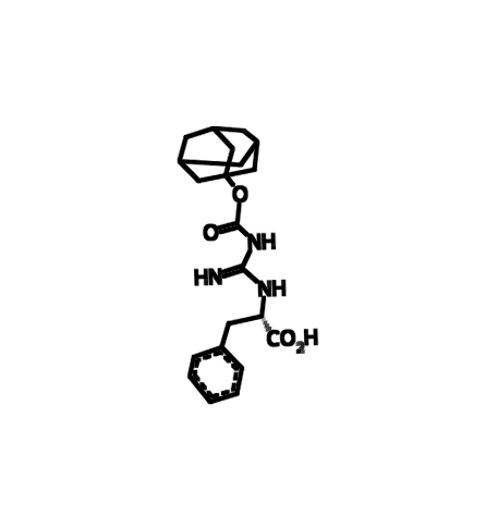 N=C(NC(=O)OC12CC3CC(CC(C3)C1)C2)N[C@@H](Cc1ccccc1)C(=O)O